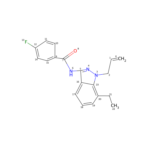 C=CCn1nc(NC(=O)c2ccc(F)cc2)c2cccc(CC)c21